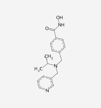 CC(C)N(Cc1ccc(C(=O)NO)cc1)Cc1cccnc1